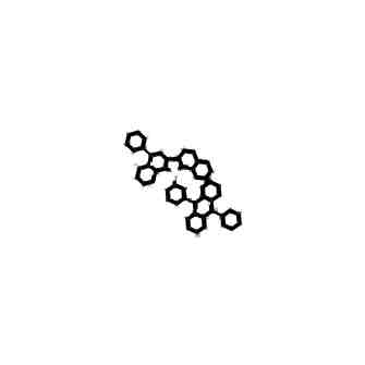 c1ccc(-c2c3ccccc3c(-c3cccc(-n4c5c6ccccc6ccc5c5cc(-c6ccccc6)c6ccccc6c54)c3)c3ccccc23)cc1